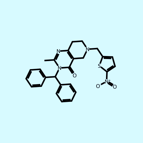 Cc1nc2c(c(=O)n1C(c1ccccc1)c1ccccc1)CN(Cc1ccc([N+](=O)[O-])s1)CC2